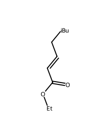 CCOC(=O)C=CCC(C)CC